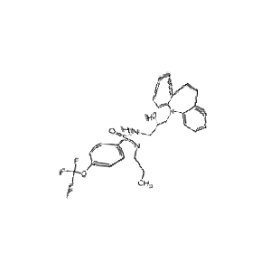 CCCN=[S@@](=O)(NC[C@H](O)CN1c2ccccc2CCc2ccccc21)c1ccc(OC(F)(F)F)cc1